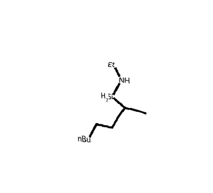 CCCCCCC(C)[SiH2]NCC